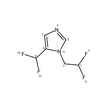 FC(F)Cn1[c]n[c]c1C(F)F